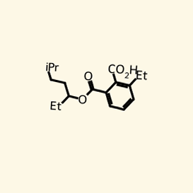 CCc1cccc(C(=O)OC(CC)CCC(C)C)c1C(=O)O